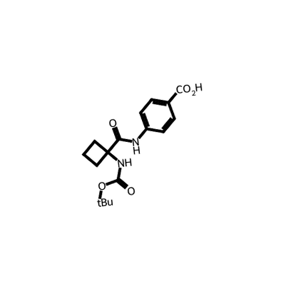 CC(C)(C)OC(=O)NC1(C(=O)Nc2ccc(C(=O)O)cc2)CCC1